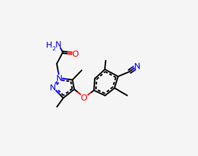 Cc1cc(Oc2c(C)nn(CC(N)=O)c2C)cc(C)c1C#N